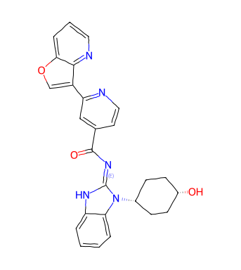 O=C(/N=c1\[nH]c2ccccc2n1[C@H]1CC[C@@H](O)CC1)c1ccnc(-c2coc3cccnc23)c1